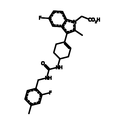 Cc1ccc(CNC(=O)NC2CC=C(c3c(C)n(CC(=O)O)c4ccc(F)cc34)CC2)c(F)c1